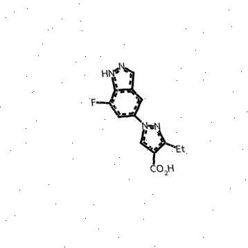 CCc1nn(-c2cc(F)c3[nH]ncc3c2)cc1C(=O)O